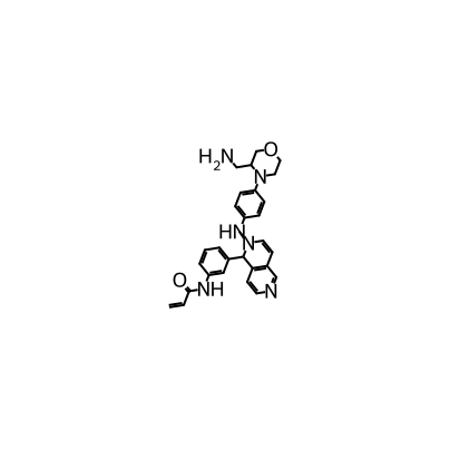 C=CC(=O)Nc1cccc(C2c3ccncc3C=CN2Nc2ccc(N3CCOCC3CN)cc2)c1